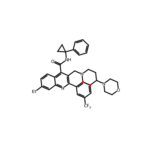 CCc1ccc2c(C(=O)NC3(c4ccccc4)CC3)c(CN3CCC(N4CCOCC4)CC3)c(-c3cccc(C(F)(F)F)c3)nc2c1